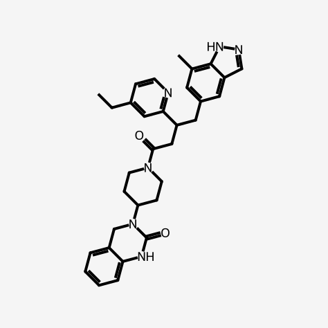 CCc1ccnc(C(CC(=O)N2CCC(N3Cc4ccccc4NC3=O)CC2)Cc2cc(C)c3[nH]ncc3c2)c1